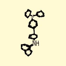 c1ccc(N(c2ccccc2)c2ccc(-c3ccc(Nc4cccc5ccccc45)cc3)cc2)cc1